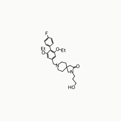 CCOc1cc(CN2CCC3(CC2)CC(=O)N(CCCO)C3)cc(OCC)c1-c1ccc(F)cc1